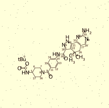 CC(C)(C)OC(=O)NC1CCN(C(=O)c2ccc(NC(=O)c3n[nH]c4c3C(C)(C)Cc3cnc(N)nc3-4)cc2)CC1